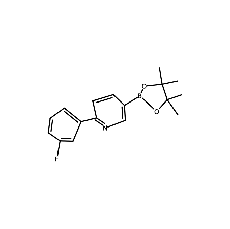 CC1(C)OB(c2ccc(-c3cccc(F)c3)nc2)OC1(C)C